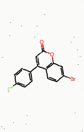 O=c1cc(-c2ccc(F)cc2)c2ccc(Br)cc2o1